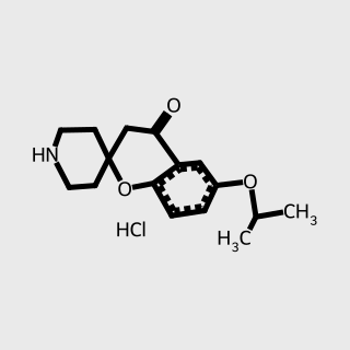 CC(C)Oc1ccc2c(c1)C(=O)CC1(CCNCC1)O2.Cl